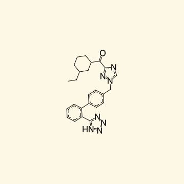 CCC1CCCC(C(=O)c2ncn(Cc3ccc(-c4ccccc4-c4nnn[nH]4)cc3)n2)C1